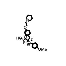 CCC(Cc1ccc(OCCN2CCCCC2)cc1)(C(=O)NO)S(=O)(=O)c1ccc(OC)cc1